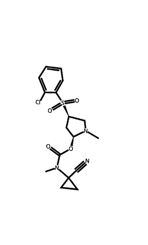 CN1C[C@H](S(=O)(=O)c2ccccc2Cl)C[C@@H]1OC(=O)N(C)C1(C#N)CC1